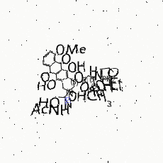 CC[C@H]1OCCN2[C@@H]1O[C@@H]1[C@H](C)O[C@@H](O[C@H]3C[C@](O)(/C(CO)=N/NC(C)=O)Cc4c(O)c5c(c(O)c43)C(=O)c3c(OC)cccc3C5=O)C[C@@H]12